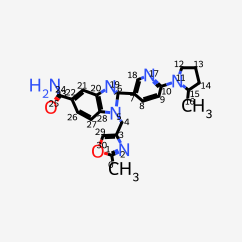 Cc1nc(Cn2c(-c3ccc(N4CCCC4C)nc3)nc3cc(C(N)=O)ccc32)co1